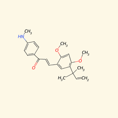 C=CC(C)(C)c1cc(C=CC(=O)c2ccc(NC)cc2)c(OC)cc1OC